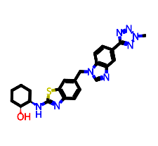 Cn1nnc(-c2ccc3c(c2)ncn3Cc2ccc3nc(N[C@@H]4CCCC[C@H]4O)sc3c2)n1